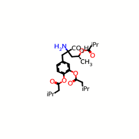 CC(C)CC(=O)Oc1ccc(CC(N)(C[C@H](C)OC(=O)C(C)C)C(=O)O)cc1OC(=O)CC(C)C